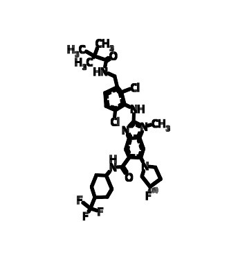 Cn1c(Nc2c(Cl)ccc(CNC(=O)C(C)(C)C)c2Cl)nc2cc(C(=O)NC3CCC(C(F)(F)F)CC3)c(N3CC[C@H](F)C3)cc21